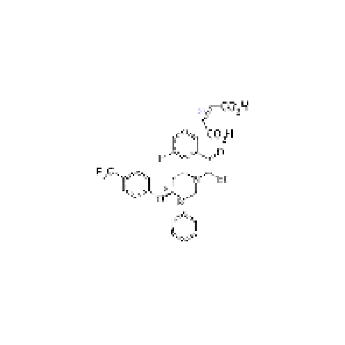 CCC(C(=O)c1cccc(F)c1)N1CC[C@H](Oc2ccc(C(F)(F)F)cc2)[C@@H](c2ccccc2)C1.O=C(O)/C=C\C(=O)O